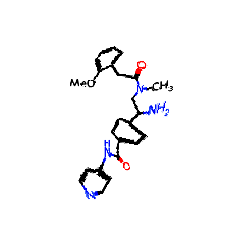 COc1ccccc1CC(=O)N(C)CC(N)c1ccc(C(=O)Nc2ccncc2)cc1